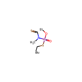 CCOP(=O)(SCC(C)CC)N(C)C=S